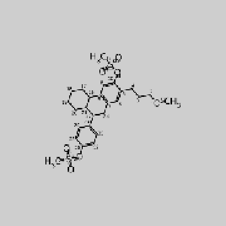 COCCCc1cc2c(cc1OS(C)(=O)=O)C1CCCCC1C(c1ccc(OS(C)(=O)=O)cc1)C2